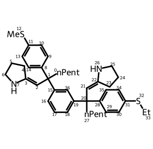 CCCCCC(/C=C1\CCCN1)(c1ccc(SC)cc1)c1cccc(C(/C=C2\CCCN2)(CCCCC)c2ccc(SCC)cc2)c1